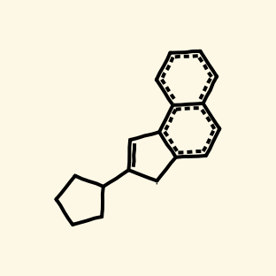 [CH]1C(C2CCCC2)=Cc2c1ccc1ccccc21